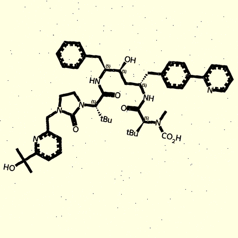 CN(C(=O)O)[C@H](C(=O)N[C@@H](Cc1ccc(-c2ccccn2)cc1)C[C@H](O)[C@H](Cc1ccccc1)NC(=O)[C@@H](N1CCN(Cc2cccc(C(C)(C)O)n2)C1=O)C(C)(C)C)C(C)(C)C